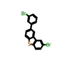 Brc1cccc(-c2ccc3sc4ccc(Br)cc4c3c2)c1